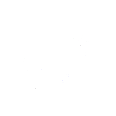 COc1cccc(F)c1CNc1ccc(-c2ccnc(C(F)(F)F)c2)c2nncn12